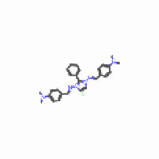 CN(C)c1ccc(/C=N/n2cc[n+](/N=C/c3ccc(N(C)C)cc3)c2-c2ccccc2)cc1.[Cl-]